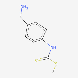 CSC(=S)Nc1ccc(CN)cc1